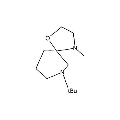 CN1CCOC12CCCN(C(C)(C)C)C2